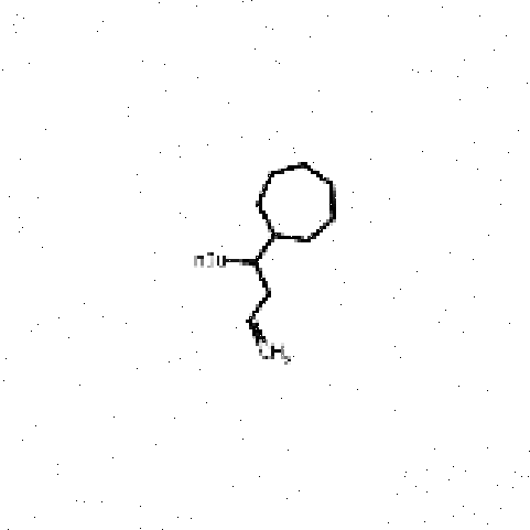 C=CCC(CCCC)C1CCCCCC1